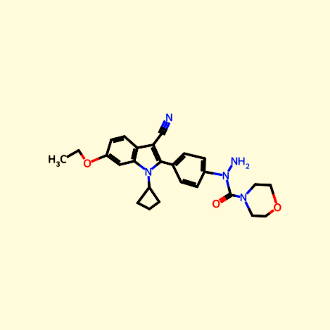 CCOc1ccc2c(C#N)c(-c3ccc(N(N)C(=O)N4CCOCC4)cc3)n(C3CCC3)c2c1